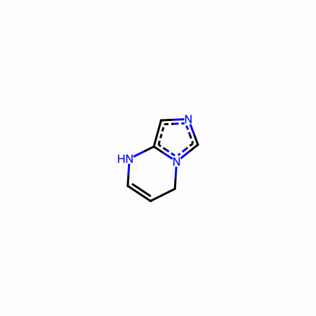 C1=CNc2cncn2C1